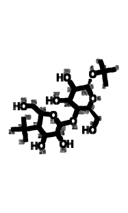 CC(C)(C)O[C@@H]1O[C@@H](CO)C(OC2OC(CO)C(C(C)(C)C)C(O)C2O)C(O)C1O